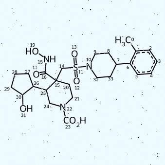 Cc1ccccc1C1CCN(S(=O)(=O)CC2(C(=O)NO)CCN(C(=O)O)CC2C2CCCC2O)CC1